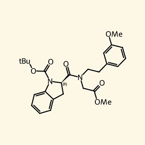 COC(=O)CN(CCc1cccc(OC)c1)C(=O)[C@H]1Cc2ccccc2N1C(=O)OC(C)(C)C